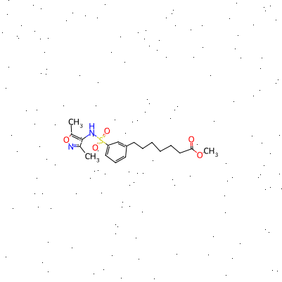 COC(=O)CCCCCCc1cccc(S(=O)(=O)Nc2c(C)noc2C)c1